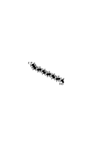 OCC(F)(F)OC(F)(F)C(F)(F)OC(F)(F)C(F)(F)OC(F)(F)C(F)(F)OC(F)(F)C(F)(F)OC(F)(F)C(F)(F)OC(F)(F)C(F)(F)C(F)(F)C(F)(F)F